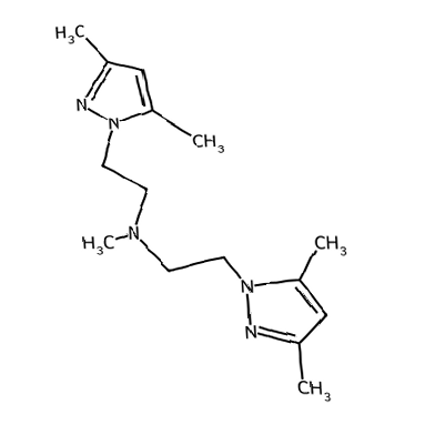 Cc1cc(C)n(CCN(C)CCn2nc(C)cc2C)n1